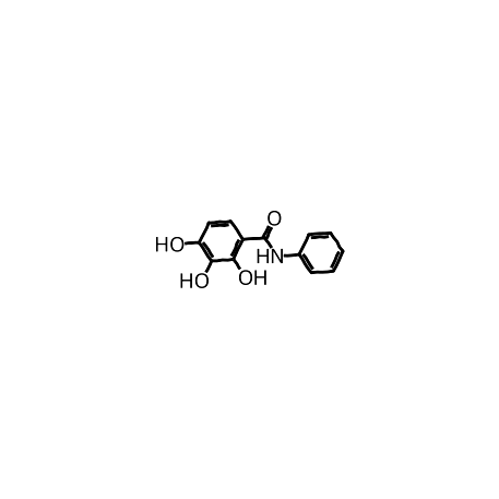 O=C(Nc1ccccc1)c1ccc(O)c(O)c1O